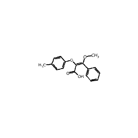 COC(=C(Oc1ccc(C)cc1)C(=O)O)c1ccccc1